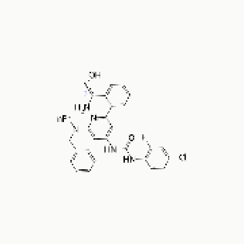 CCCN(Cc1ccccc1)c1cc(NC(=O)Nc2ccc(Cl)cc2F)cc(-c2ccccc2/C(N)=N\O)n1